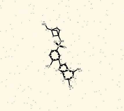 Cc1ccc(S(=O)(=O)NC23CCC(CO)(C2)C3)cc1-c1cn2c(N)nc(C(F)(F)F)nc2n1